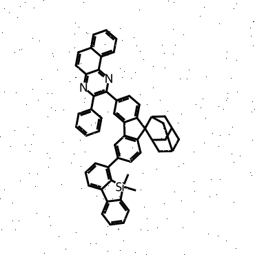 C[Si]1(C)c2ccccc2-c2cccc(-c3ccc4c(c3)-c3cc(-c5nc6c(ccc7ccccc76)nc5-c5ccccc5)ccc3C43C4CC5CC(C4)CC3C5)c21